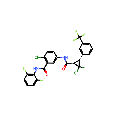 O=C(Nc1c(F)cccc1F)c1cc(NC(=O)[C@H]2[C@H](c3cccc(C(F)(F)F)c3)C2(Cl)Cl)ccc1Cl